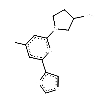 COC1CCN(c2cc(C(F)(F)F)cc(-c3cnco3)n2)C1